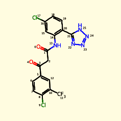 O=C(CC(=O)c1ccc(Cl)c(C(F)(F)F)c1)Nc1cc(Cl)ccc1-c1nnn[nH]1